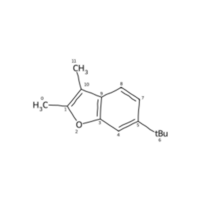 Cc1oc2cc(C(C)(C)C)ccc2c1C